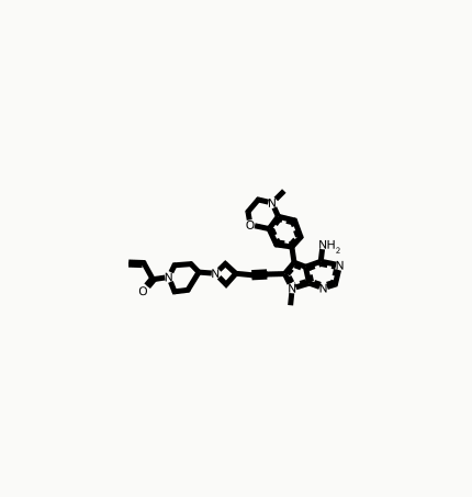 C=CC(=O)N1CCC(N2CC(C#Cc3c(-c4ccc5c(c4)OCCN5C)c4c(N)ncnc4n3C)C2)CC1